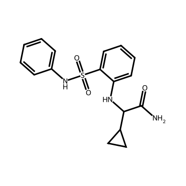 NC(=O)C(Nc1ccccc1S(=O)(=O)Nc1ccccc1)C1CC1